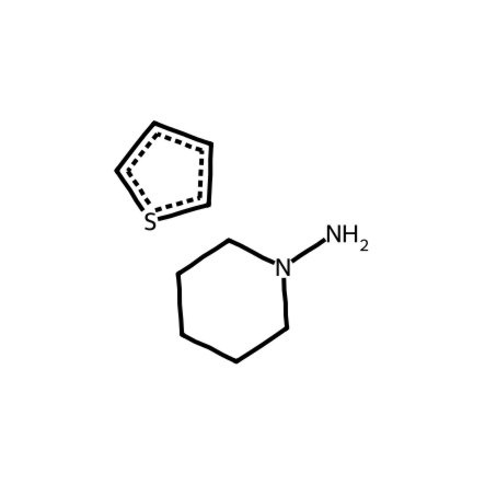 NN1CCCCC1.c1ccsc1